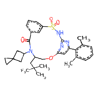 Cc1cccc(C)c1-c1cc2nc(n1)NS(=O)(=O)c1cccc(c1)C(=O)N(C1CC3(CC3)C1)C(CC(C)(C)C(F)(F)F)CO2